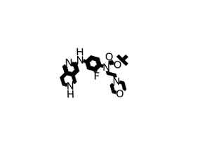 CC(C)(C)OC(=O)N(CCN1CCOCC1)c1ccc(Nc2cc3c(cn2)CCNC3)cc1F